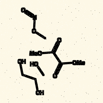 CO.COC(=O)C(=O)OC.CON=O.OCCO